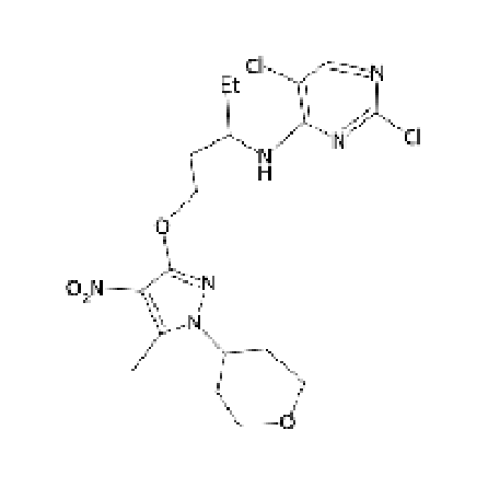 CCC(CCOc1nn(C2CCOCC2)c(C)c1[N+](=O)[O-])Nc1nc(Cl)ncc1Cl